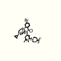 Cc1cc(NC(=O)c2ccc(Br)cc2N2CCN(C3CC3)CC2)cc(N2CCC(F)(F)CC2)n1